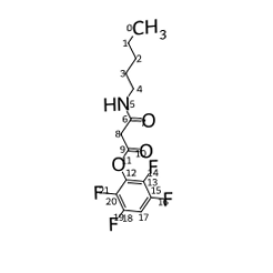 CCCCCNC(=O)CC(=O)Oc1c(F)c(F)cc(F)c1F